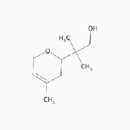 CC1=CCOC(C(C)(C)CO)C1